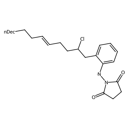 CCCCCCCCCCCCC=CCCC(Cl)Cc1ccccc1[N]N1C(=O)CCC1=O